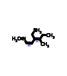 BCC(/C=C\N=C)=C(/C)CC